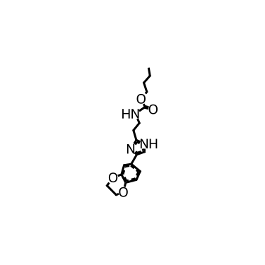 CCCCOC(=O)NCCc1nc(-c2ccc3c(c2)OCCO3)c[nH]1